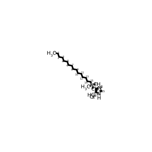 CCCCCCCCCCCCCCCC[N+](C)(C)C.Cl.[Cl-].c1c[nH]cn1